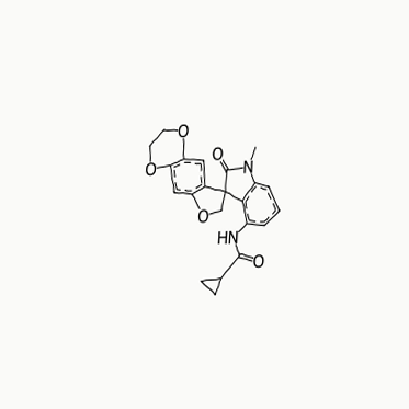 CN1C(=O)C2(COc3cc4c(cc32)OCCO4)c2c(NC(=O)C3CC3)cccc21